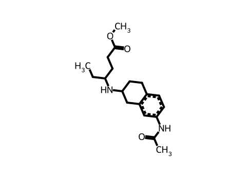 CCC(CCC(=O)OC)NC1CCc2ccc(NC(C)=O)cc2C1